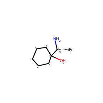 CC(C)[C@@H](N)C1(O)CCCCC1